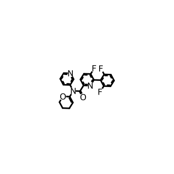 O=C(c1ccc(F)c(-c2c(F)cccc2F)n1)N(C1=CCCCO1)c1cccnc1